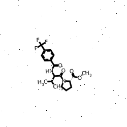 COC(=O)[C@@H]1CCCN1C(=O)C(NC(=O)c1ccc(C(F)(F)F)cc1)C(C)C